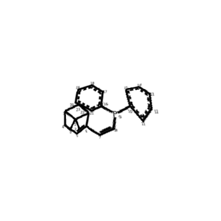 CC1(C)C2CC=C(/C=C\P(c3ccccc3)c3ccccc3)C1C2